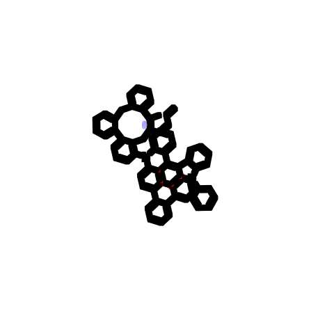 C=C/C=C\C1=C(/C)c2ccccc2Cc2ccccc2-c2cccc(N(c3ccc4c5ccccc5c5ccccc5c4c3)c3ccccc3-c3cccc4c3c3ccccc3n4-c3ccccc3)c2C1